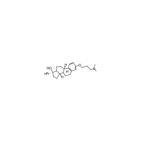 CCC[C@@]1(O)CC[C@H]2[C@@H]3CCc4cc(OCCCN(C)C)ccc4[C@H]3CC[C@@]21C